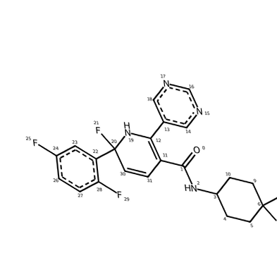 O=C(NC1CCC(F)(F)CC1)C1=C(c2cncnc2)NC(F)(c2cc(F)ccc2F)C=C1